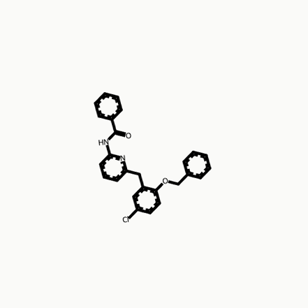 O=C(Nc1cccc(Cc2cc(Cl)ccc2OCc2ccccc2)n1)c1ccccc1